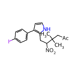 CC(=O)CC(C)(C)C(Cc1[nH]ccc1-c1ccc(I)cc1)[N+](=O)[O-]